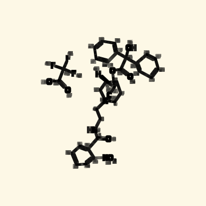 O=C(NCC[N+]12CCC(CC1)[C@@H](OC(=O)C(O)(c1ccccc1)c1ccccc1)C2)c1ccccc1[N+](=O)[O-].O=C([O-])C(F)(F)F